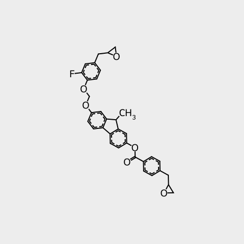 CC1c2cc(OCOc3ccc(CC4CO4)cc3F)ccc2-c2ccc(OC(=O)c3ccc(CC4CO4)cc3)cc21